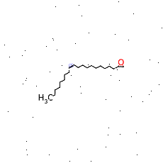 CCCCCCCC/C=C\CCCCCCC[CH]CC1CO1